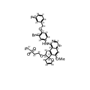 COc1cc2ncnc(Nc3ccc(OCc4cccc(F)c4)c(Br)c3)c2cc1C1(C(C)OCCS(=O)(=O)C(C)C)CC=CO1